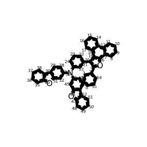 c1ccc(-c2oc3c4ccccc4c4ccccc4c3c2-c2cccc(N(c3ccc4c(c3)oc3ccccc34)c3ccc4c(c3)oc3ccccc34)c2)cc1